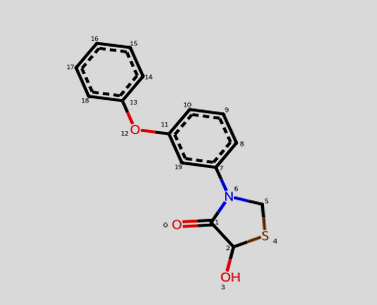 O=C1C(O)SCN1c1cccc(Oc2ccccc2)c1